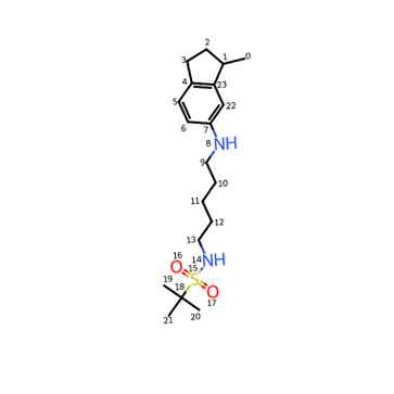 CC1CCc2ccc(NCCCCCNS(=O)(=O)C(C)(C)C)cc21